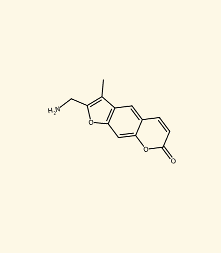 Cc1c(CN)oc2cc3oc(=O)ccc3cc12